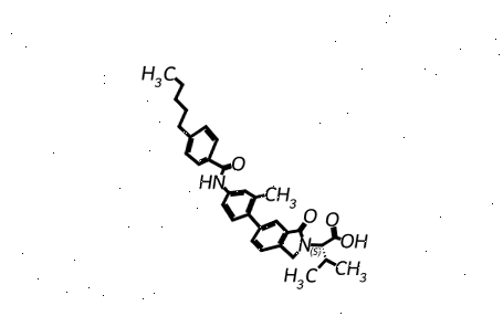 CCCCCc1ccc(C(=O)Nc2ccc(-c3ccc4c(c3)C(=O)N([C@H](C(=O)O)C(C)C)C4)c(C)c2)cc1